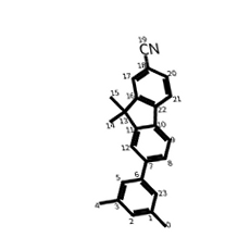 Cc1cc(C)cc(-c2ccc3c(c2)C(C)(C)c2cc(C#N)ccc2-3)c1